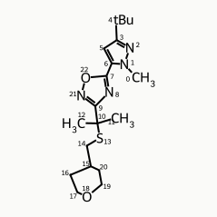 Cn1nc(C(C)(C)C)cc1-c1nc(C(C)(C)SCC2CCOCC2)no1